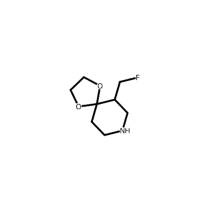 FCC1CNCCC12OCCO2